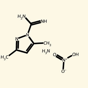 Cc1cc(C)n(C(=N)N)n1.N.O=[N+]([O-])O